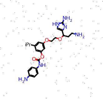 CC(C)c1cc(OCCOC(CCN)c2c[nH]c(N)n2)cc(OC(=O)Nc2ccc(N)cc2)c1